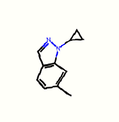 Cc1ccc2cnn(C3CC3)c2c1